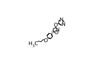 CCCCOc1ccc([C@@H]2CC(Oc3cncnc3)=NO2)cc1